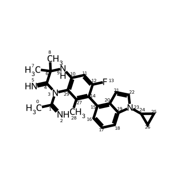 CC(=N)N1C(=N)C(C)(C)Nc2cc(F)c(-c3cccc4c3ccn4C3CC3)c(C)c21